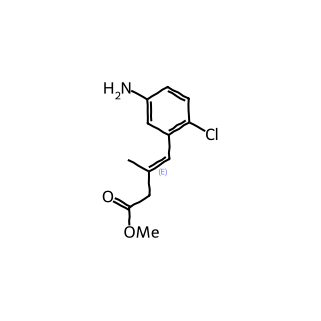 COC(=O)C/C(C)=C/c1cc(N)ccc1Cl